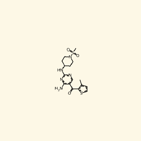 Cc1ccsc1C(=O)c1cnc(NC2CCN(S(C)(=O)=O)CC2)nc1N